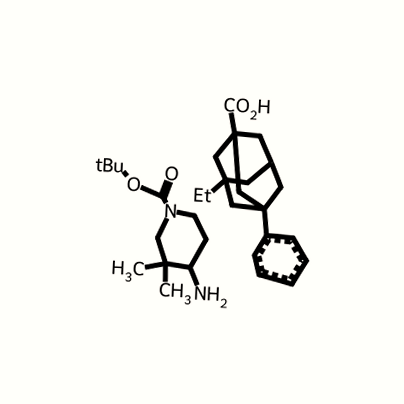 CC(C)(C)OC(=O)N1CCC(N)C(C)(C)C1.CCC12CC3CC(C(=O)O)(C1)CC(c1ccccc1)(C3)C2